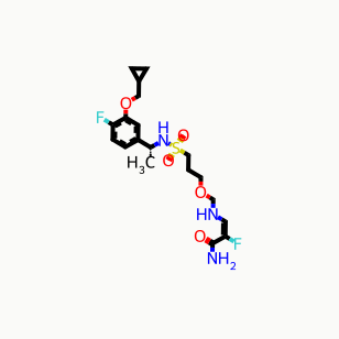 C[C@@H](NS(=O)(=O)CCCOCN/C=C(/F)C(N)=O)c1ccc(F)c(OCC2CC2)c1